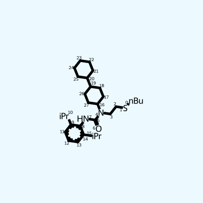 CCCCSCCN(C(=O)Nc1c(C(C)C)cccc1C(C)C)C1CCC(C2CCCCC2)CC1